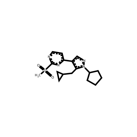 CS(=O)(=O)c1nccc(-c2cnn(C3CCCC3)c2CC2CC2)n1